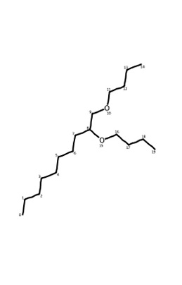 CCCCCCCCC(COCCCC)OCCCC